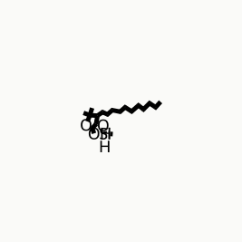 CCCCCCCCCCCC(C(O[SiH](C)C)C(=O)O)C(C)(C)C